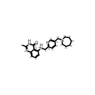 Cc1nc2cccc(NCc3ccc(CN4CCCCCC4)cn3)c2c(=O)[nH]1